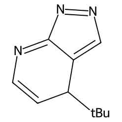 CC(C)(C)C1C=CN=C2N=NC=C21